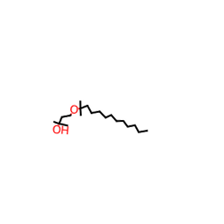 CCCCCCCCCCCC(C)(C)OCCC(C)(C)O